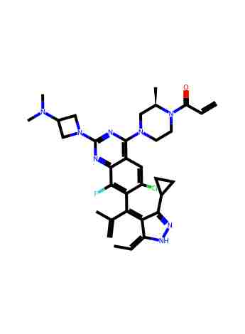 C=CC(=O)N1CCN(c2nc(N3CC(N(C)C)C3)nc3c(F)c(/C(C(=C)C)=c4\c(C5CC5)n[nH]\c4=C\C)c(Cl)cc23)C[C@H]1C